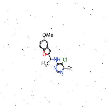 CCc1ncnc(NC(C)c2cc3cc(OC)ccc3o2)c1Cl